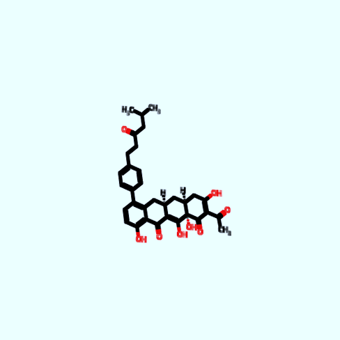 CC(=O)C1=C(O)C[C@@H]2C[C@@H]3Cc4c(-c5ccc(CCC(=O)CC(C)C)cc5)ccc(O)c4C(=O)C3=C(O)[C@]2(O)C1=O